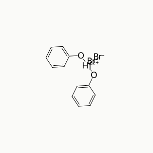 [Br-].[Br-].c1ccc([O][Hf+2][O]c2ccccc2)cc1